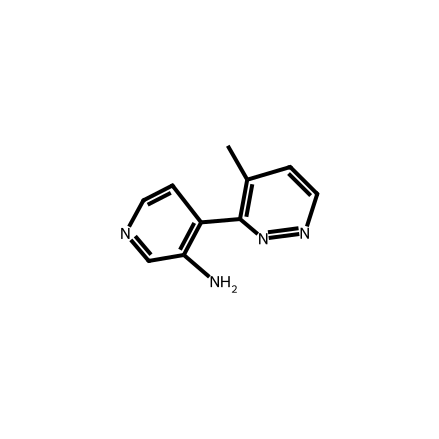 Cc1ccnnc1-c1ccncc1N